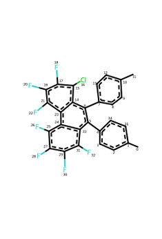 Cc1ccc(-c2c(-c3ccc(C)cc3)c3c(Cl)c(F)c(F)c(F)c3c3c(F)c(F)c(F)c(F)c23)cc1